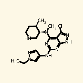 CCn1cc(Nc2nc(N(C)[C@H]3CNCC[C@H]3C)c3c(Cl)n[nH]c3n2)cn1